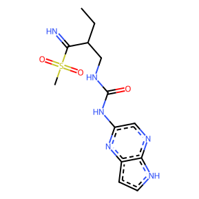 CCC(CNC(=O)Nc1cnc2[nH]ccc2n1)C(=N)S(C)(=O)=O